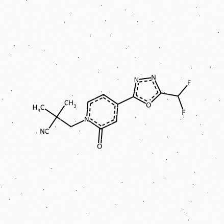 CC(C)(C#N)Cn1ccc(-c2nnc(C(F)F)o2)cc1=O